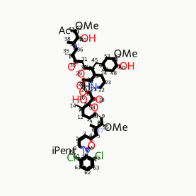 CCC[C@H](C)C1C=CC(/C=C(\C)[C@H](C[C@@H]2CC[C@@H](C)[C@](O)(C(=O)C(=O)N3CCCC4[C@H]3C(=O)O[C@@H](CC(=O)[C@H](C)/C=C(\C)[C@@H](O)[C@@H](OC)C(C)=O)[C@H]4C[C@@H]3CC[C@@H](O)[C@H](OC)C3)O2)OC)ON1c1c(Cl)cccc1Cl